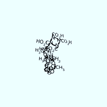 CC(C)(COCC(C)(C)C(=O)NC(C)(C)COCC(C)(C)NC(=O)CCC(C(=O)O)N1CCN(CC(=O)O)CCN(CC(=O)O)CCN(CC(=O)O)CC1)CC(=O)ON1C(=O)CCC1=O